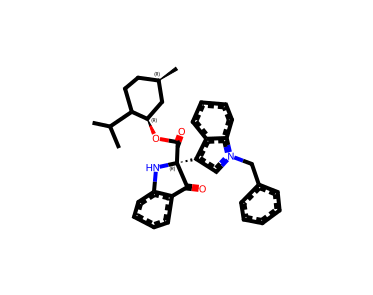 CC(C)C1CC[C@@H](C)C[C@H]1OC(=O)[C@]1(c2cn(Cc3ccccc3)c3ccccc23)Nc2ccccc2C1=O